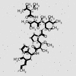 C=C/C=C(\C=C)C[C@H](NC(=O)[C@H](C)[C@@H](OC)[C@@H]1CCCN1C(=O)C[C@@H](OC)[C@H]([C@@H](C)CC)N(C)C(=O)[C@@H](NC(=O)[C@@H](NC)C(C)C)C(C)C)c1nccs1